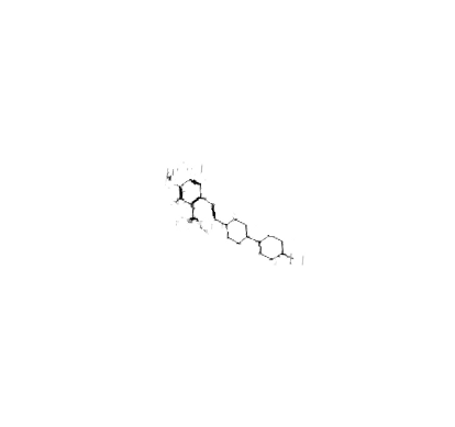 CCCCCCCCOc1ccc2cc(C3CCC(C4CCC(CC)CC4)CC3)oc(=O)c2c1F